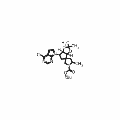 CC1C[C@]2(C[C@@H](n3ccc4c(Cl)ncnc43)[C@@H]3OC(C)(C)O[C@@H]32)CN1C(=O)OC(C)(C)C